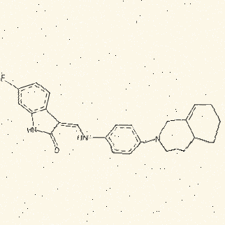 O=C1Nc2cc(F)ccc2C1=CNc1ccc(N2CCC3CCCC=C3C2)cc1